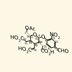 CC(=O)OC[C@@H]1O[C@@H](Oc2ccc(C=O)cc2[N+](=O)[O-])[C@H](CC(=O)O)[C@@H](CC(=O)O)[C@H]1CC(=O)O